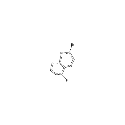 Fc1cccc2nc(Br)cnc12